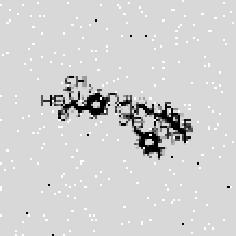 CCOC(Cc1ccc(OCCN(CCOC(F)(F)C(F)(F)C(F)(F)C(F)(F)F)C(=O)OCc2ccc(F)cc2)cc1)C(=O)O